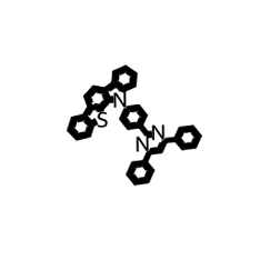 c1ccc(-c2cc(-c3ccccc3)nc(-c3ccc(-n4c5ccccc5c5ccc6c7ccccc7sc6c54)cc3)n2)cc1